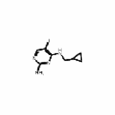 Nc1ncc(I)c(NCC2CC2)n1